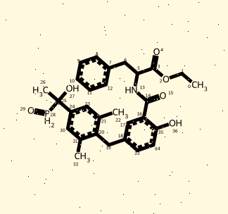 CCOC(=O)C(Cc1ccccc1)NC(=O)c1cc(Cc2c(C)cc(C(C)(O)[PH2]=O)cc2C)ccc1O